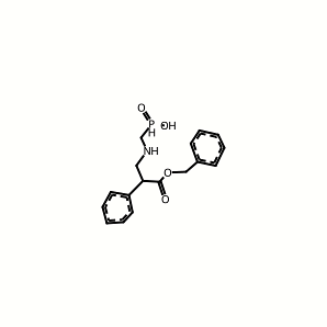 O=C(OCc1ccccc1)C(CNC[PH](=O)O)c1ccccc1